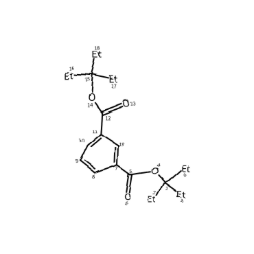 CCC(CC)(CC)OC(=O)c1cccc(C(=O)OC(CC)(CC)CC)c1